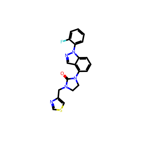 O=C1N(Cc2cscn2)CCN1c1cccc2c1cnn2-c1ccccc1F